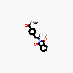 COC(=O)c1ccc(C[C@@H](C(=O)O)N2C(=O)c3ccccc3C2=O)cc1